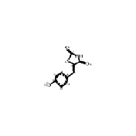 O=C1NC(=S)S/C1=C\c1ccc(O)cc1